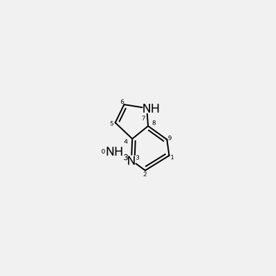 N.c1cnc2cc[nH]c2c1